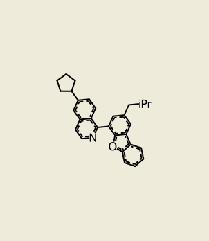 CC(C)Cc1cc(-c2nccc3cc(C4CCCC4)ccc23)c2oc3ccccc3c2c1